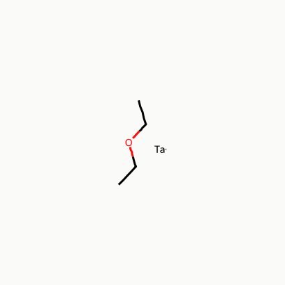 CCOCC.[Ta]